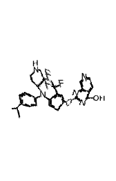 CC(C)c1ccc(N(c2ccc(Oc3nc(O)c4ccncc4n3)cc2C(F)(F)F)C2CCNCC2)cc1